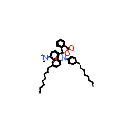 CCCCCCCCc1ccc(N(c2ccc(CCCCCCCC)cc2)C2(c3ccc(N(C)C)cc3)OC(=O)c3ccccc32)cc1